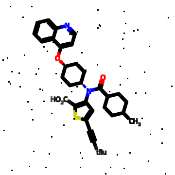 CC1CCC(C(=O)N(c2cc(C#CC(C)(C)C)sc2C(=O)O)[C@H]2CC[C@H](Oc3ccnc4ccccc34)CC2)CC1